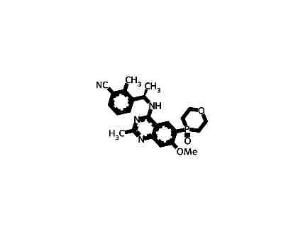 COc1cc2nc(C)nc(N[C@H](C)c3cccc(C#N)c3C)c2cc1P1(=O)CCOCC1